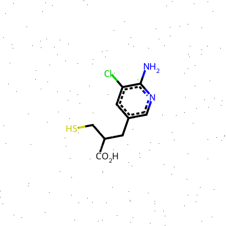 Nc1ncc(CC(CS)C(=O)O)cc1Cl